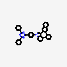 c1ccc(-c2nc(-c3ccccc3)nc(-c3ccc(-n4cc5c6c(cccc64)-c4ccccc4-c4cc6ccccc6cc4-5)cc3)n2)cc1